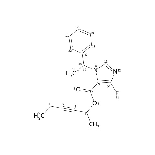 CCC#CC(C)OC(=O)c1c(F)ncn1[C@H](C)c1ccccc1